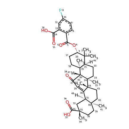 CC1(C)[C@@H](OC(=O)c2ccc(F)cc2C(=O)O)CC[C@@]2(C)[C@@H]1CC[C@]1(C)[C@@H]2C(=O)C=C2[C@@H]3C[C@@](C)(C(=O)O)CC[C@]3(C)CC[C@]21C